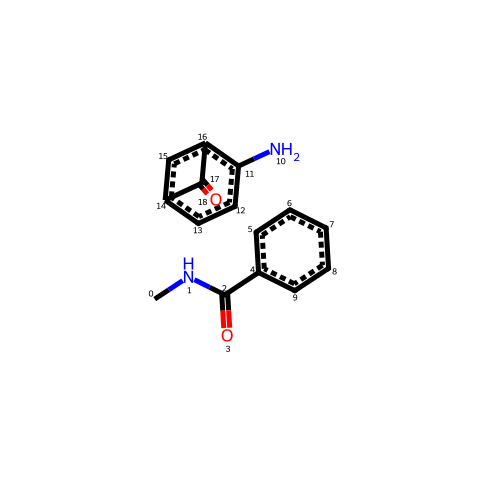 CNC(=O)c1ccccc1.Nc1ccc2cc1C2=O